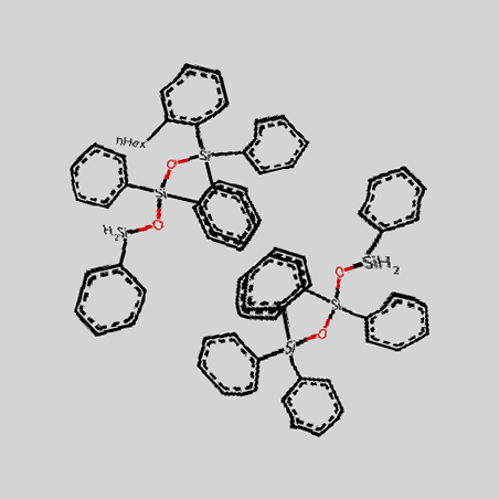 CCCCCCc1ccccc1[Si](O[Si](O[SiH2]c1ccccc1)(c1ccccc1)c1ccccc1)(c1ccccc1)c1ccccc1.c1ccc([SiH2]O[Si](O[Si](c2ccccc2)(c2ccccc2)c2ccccc2)(c2ccccc2)c2ccccc2)cc1